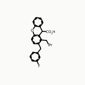 CC(C)Cc1c(Cc2cccc(F)c2)ccc2c1C(C(=O)O)c1ccccc1O2